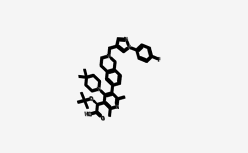 Cc1nc(C)c([C@H](OC(C)(C)C)C(=O)O)c(N2CCC(C)(C)CC2)c1-c1ccc2c(c1)CCN(Cc1cnn(-c3ccc(F)cc3)c1)C2